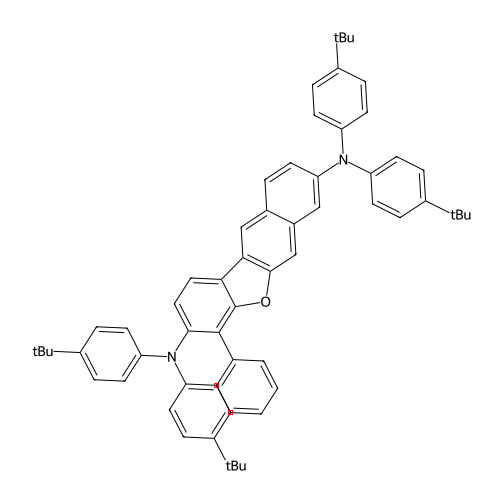 CC(C)(C)c1ccc(N(c2ccc(C(C)(C)C)cc2)c2ccc3cc4c(cc3c2)oc2c(-c3ccccc3)c(N(c3ccc(C(C)(C)C)cc3)c3ccc(C(C)(C)C)cc3)ccc24)cc1